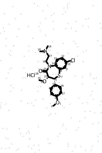 COc1ccc([C@H]2Sc3cc(Cl)ccc3N(CCN(C)C)C(=O)[C@H]2OC)cc1.Cl